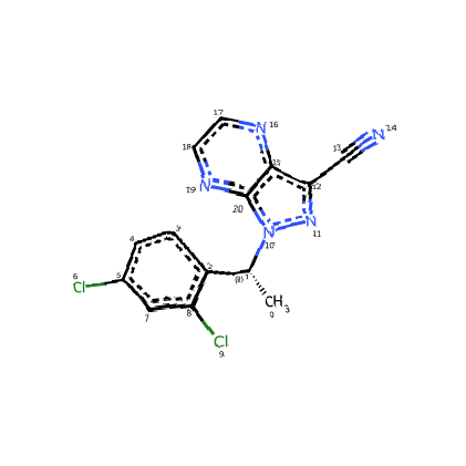 C[C@H](c1ccc(Cl)cc1Cl)n1nc(C#N)c2nccnc21